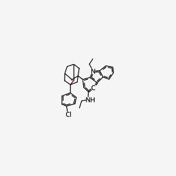 CCNc1cc(C23CC4CC(CC(c5ccc(Cl)cc5)(C4)C2)C3)c2c(c1)c1ccccc1n2CC